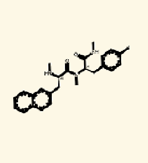 CNC(=O)[C@@H](Cc1ccc(I)cc1)N(C)C(=O)[C@@H](Cc1ccc2ccccc2c1)NC